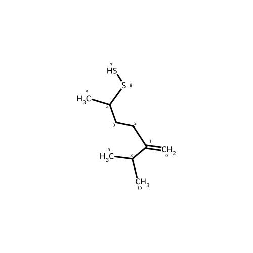 C=C(CCC(C)SS)C(C)C